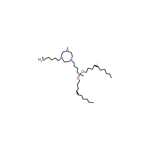 CCCCC/C=C\CCCO[Si](C)(CCCCN1CCN(C)CCN(CCCC[SiH2]C)CC1)OCCC/C=C\CCCCC